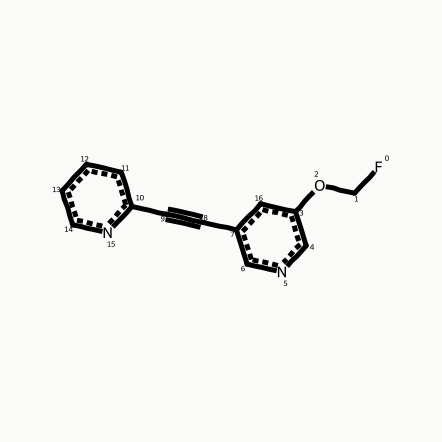 FCOc1cncc(C#Cc2ccccn2)c1